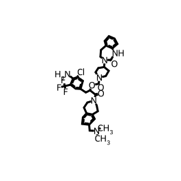 CN(C)Cc1ccc2c(c1)CCN(C(=O)C(Cc1cc(Cl)c(N)c(C(F)(F)F)c1)OC(=O)N1CCC(N3CCc4ccccc4NC3=O)CC1)CC2